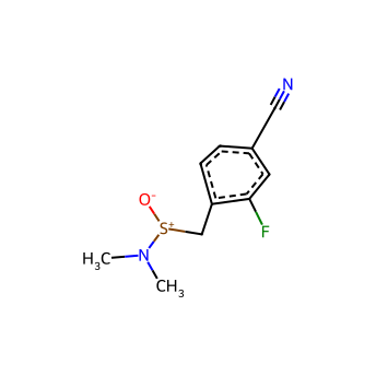 CN(C)[S+]([O-])Cc1ccc(C#N)cc1F